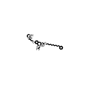 O=C(C[C@@H]1Cc2ccc(OCCc3cn4c(n3)NCCC4)cc2CN(CC(F)(F)F)C1=O)OCCCCCCCCCCc1ccccc1